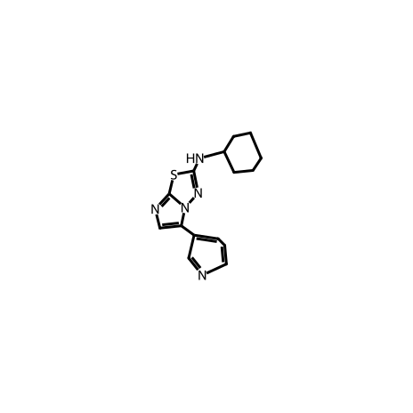 c1cncc(-c2cnc3sc(NC4CCCCC4)nn23)c1